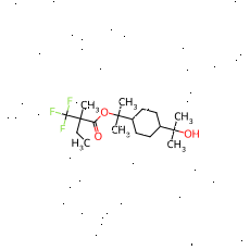 CCC(C)(C(=O)OC(C)(C)C1CCC(C(C)(C)O)CC1)C(F)(F)F